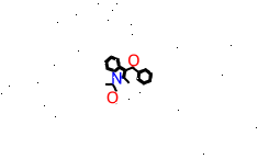 COCC(C)n1c(C)c(C(=O)c2ccccc2)c2ccccc21